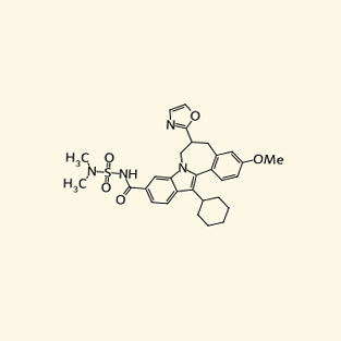 COc1ccc2c(c1)CC(c1ncco1)Cn1c-2c(C2CCCCC2)c2ccc(C(=O)NS(=O)(=O)N(C)C)cc21